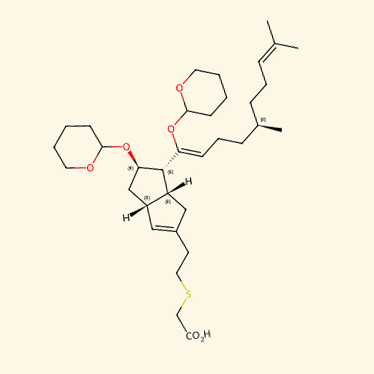 CC(C)=CCC[C@@H](C)CCC=C(OC1CCCCO1)[C@@H]1[C@@H]2CC(CCSCC(=O)O)=C[C@@H]2C[C@H]1OC1CCCCO1